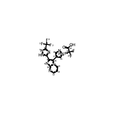 FC(F)(F)c1n[nH]c(-c2nc3ncccn3c2-c2cn[nH]c2)n1.O=C(O)C(F)(F)F